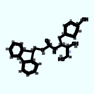 O=C(N[C@@H](Cc1ccc(O)cc1)/C(O)=C\O)OCC1c2ccccc2-c2ccccc21